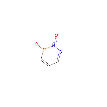 [O-][NH+]1N=CC=C[S+]1[O-]